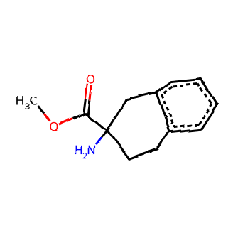 COC(=O)C1(N)CCc2ccccc2C1